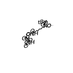 CC(C)(C)OC(=O)N(CCCCCCCC(=O)Nc1cccc2c1CN(C1CCC(=O)NC1=O)C2=O)[C@H]1CC[C@@H](C)CC1